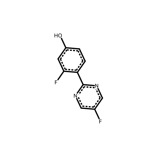 Oc1ccc(-c2ncc(F)cn2)c(F)c1